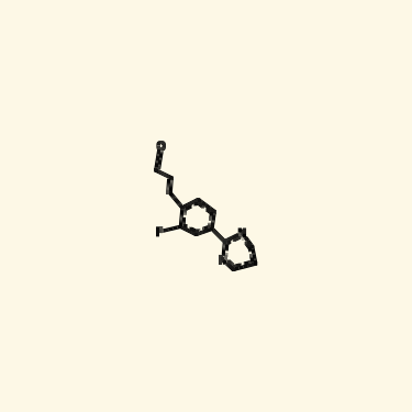 O=CC=Cc1ccc(-c2ncccn2)cc1F